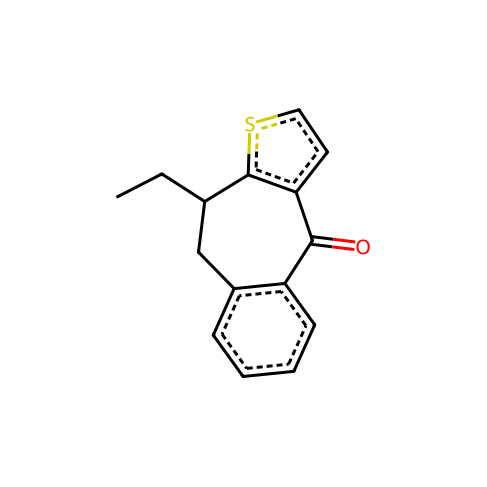 CCC1Cc2ccccc2C(=O)c2ccsc21